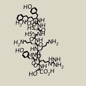 N=C(N)NCCC[C@H](NC(=O)[C@H](Cc1ccc(O)cc1)NC(=O)[C@H](CCCCN)NC(=O)[C@H](CCCCN)NC(=O)[C@H](CS)NC(=O)[C@H](CS)NC(=O)NC(Cc1ccc(O)cc1)C(O)CC(Cc1ccccc1)C(N)=O)C(=O)N[C@@H](CO)C(=O)O